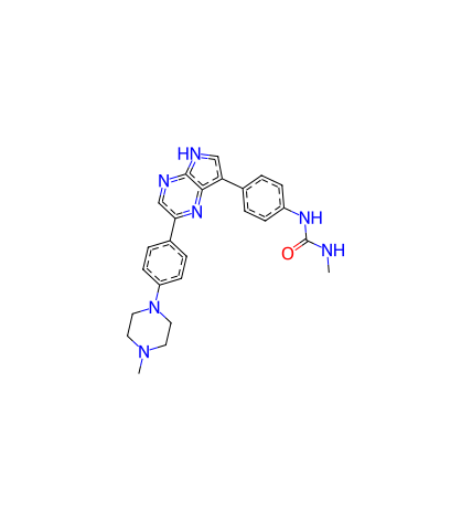 CNC(=O)Nc1ccc(-c2c[nH]c3ncc(-c4ccc(N5CCN(C)CC5)cc4)nc23)cc1